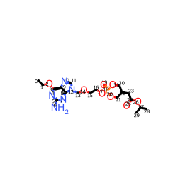 CCOc1nc(N)nc2c1ncn2COCCOP1(=O)OCC(CC(=O)OC(C)C)CO1